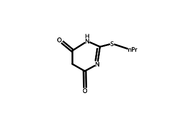 CCCSC1=NC(=O)CC(=O)N1